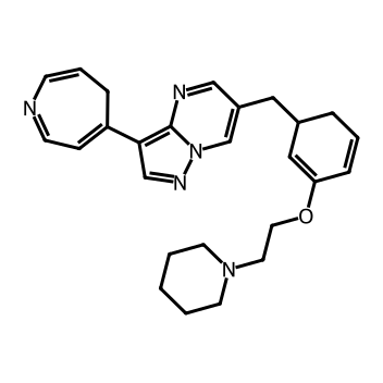 C1=CN=CC=C(c2cnn3cc(CC4C=C(OCCN5CCCCC5)C=CC4)cnc23)C1